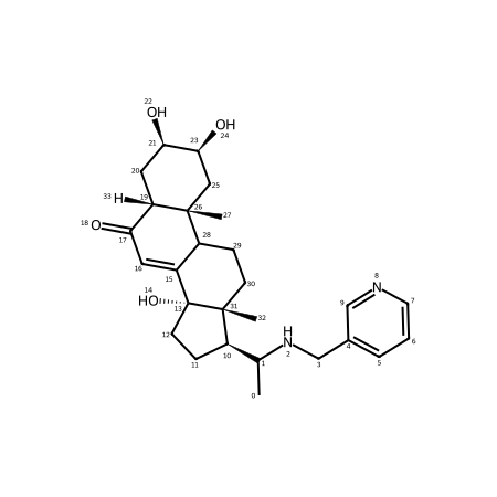 CC(NCc1cccnc1)[C@H]1CC[C@@]2(O)C3=CC(=O)[C@@H]4C[C@@H](O)[C@@H](O)C[C@]4(C)C3CC[C@]12C